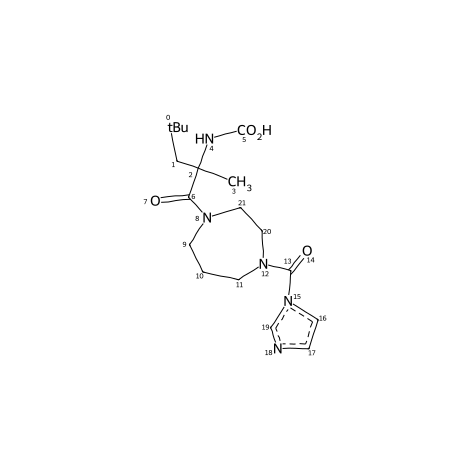 CC(C)(C)CC(C)(NC(=O)O)C(=O)N1CCCN(C(=O)n2ccnc2)CC1